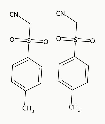 [C-]#[N+]CS(=O)(=O)c1ccc(C)cc1.[C-]#[N+]CS(=O)(=O)c1ccc(C)cc1